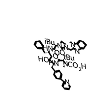 CCC(C)[C@@H](C(=O)N[C@@H](Cc1ccccc1)C[C@@H](O)[C@H](Cc1ccc(-c2ccccn2)cc1)NC(=O)[C@@H](N(C)C(=O)O)C(C)(C)C)N1CCN(Cc2nc3ccccc3n2C)C1=O